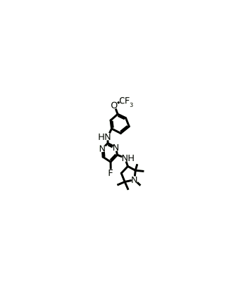 CN1C(C)(C)CC(Nc2nc(Nc3cccc(OC(F)(F)F)c3)ncc2F)C1(C)C